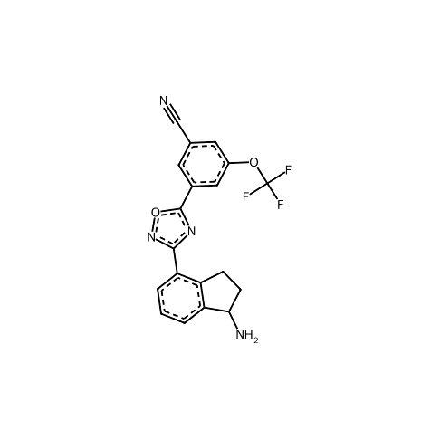 N#Cc1cc(OC(F)(F)F)cc(-c2nc(-c3cccc4c3CCC4N)no2)c1